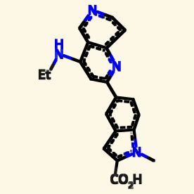 CCNc1cc(-c2ccc3c(c2)cc(C(=O)O)n3C)nc2ccncc12